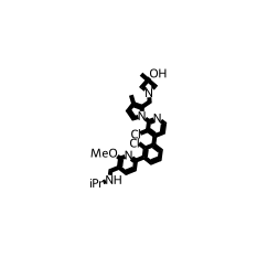 COc1nc(-c2cccc(-c3ccnc(-n4ccc(C)c4CN4CC(C)(O)C4)c3Cl)c2Cl)ccc1CNC(C)C